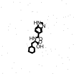 O=C(NC(CC1CCCCC1)C(=O)O)c1ccc2[nH]cnc2c1